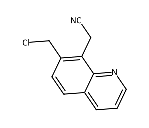 N#CCc1c(CCl)ccc2cccnc12